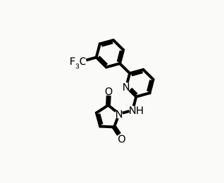 O=C1C=CC(=O)N1Nc1cccc(-c2cccc(C(F)(F)F)c2)n1